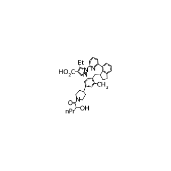 CCCC(O)C(=O)N1CCC(c2ccc(CC3CCc4cccc(-c5cccc(-n6ncc(C(=O)O)c6CC)n5)c43)c(C)c2)CC1